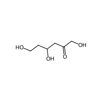 O=C(CO)CC(O)CCO